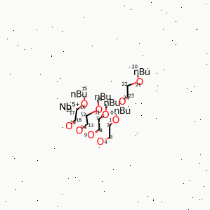 CCCCOCC[O-].CCCCOCC[O-].CCCCOCC[O-].CCCCOCC[O-].CCCCOCC[O-].[Nb+5]